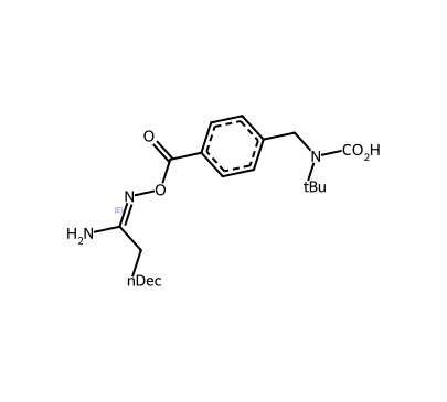 CCCCCCCCCCC/C(N)=N\OC(=O)c1ccc(CN(C(=O)O)C(C)(C)C)cc1